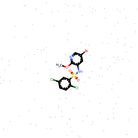 COc1ncc(Br)cc1NS(=O)(=O)c1cc(Cl)ccc1Cl